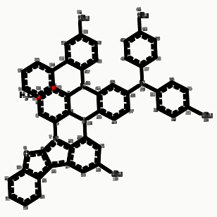 Cc1cc2c3c(c1)-n1c4oc5ccccc5c4c4cc(C(C)(C)C)cc(c41)B3c1ccc(N(c3ccc(C(C)(C)C)cc3)c3ccc(C(C)(C)C)cc3)cc1N2c1ccc(C(C)(C)C)cc1-c1ccccc1